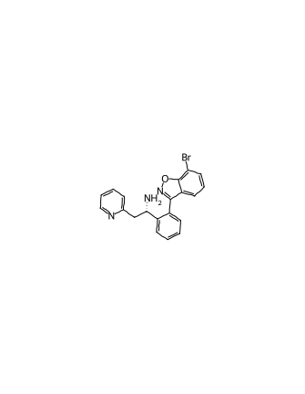 N[C@@H](Cc1ccccn1)c1ccccc1-c1noc2c(Br)cccc12